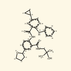 CC(C)(O)CNC(=O)c1nc(C2CCCO2)ccc1NC(=O)c1nc(C2CC2)cnc1Nc1cncnc1